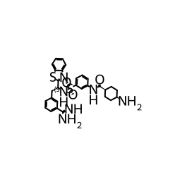 N=C(N)c1cccc(C[C@H](NS(=O)(=O)c2cccc(NC(=O)[C@H]3CC[C@@H](N)CC3)c2)c2nc3ccccc3s2)c1